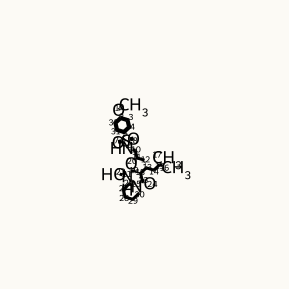 COc1ccc(S(=O)(=O)NCCC[C@H](CC(C)C)[C@H](C(=O)NO)C(=O)N2CCCCC2)cc1